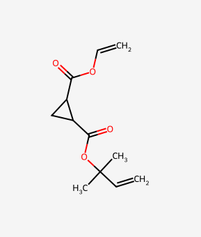 C=COC(=O)C1CC1C(=O)OC(C)(C)C=C